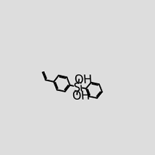 C=Cc1ccc([Si](O)(O)c2ccccc2)cc1